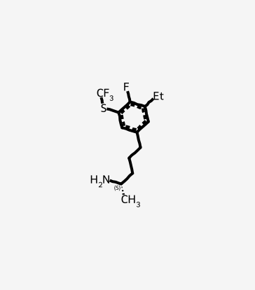 CCc1cc(CCC[C@H](C)N)cc(SC(F)(F)F)c1F